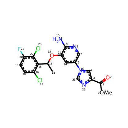 COC(=O)c1cn(-c2cnc(N)c(OC(C)c3c(Cl)ccc(F)c3Cl)c2)cn1